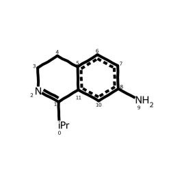 CC(C)C1=NCCc2ccc(N)cc21